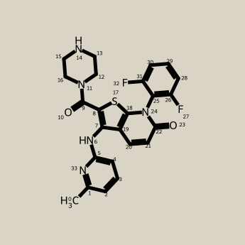 Cc1cccc(Nc2c(C(=O)N3CCNCC3)sc3c2ccc(=O)n3-c2c(F)cccc2F)n1